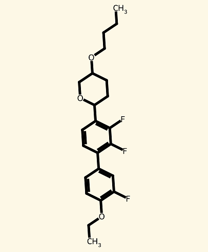 CCCCOC1CCC(c2ccc(-c3ccc(OCC)c(F)c3)c(F)c2F)OC1